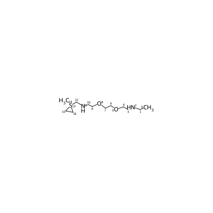 CCNCCOCCOCCNCS1(C)CC1